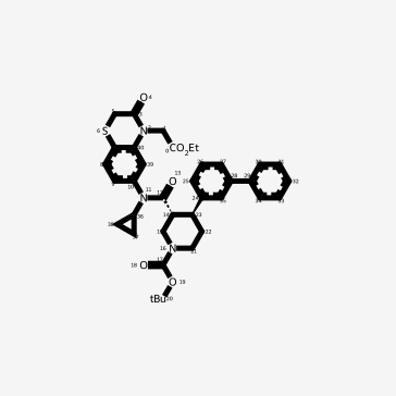 CCOC(=O)CN1C(=O)CSc2ccc(N(C(=O)[C@H]3CN(C(=O)OC(C)(C)C)CC[C@@H]3c3cccc(-c4ccccc4)c3)C3CC3)cc21